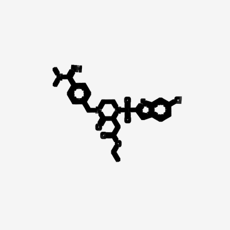 CCOC(=O)CC1C(=O)N(Cc2ccc(C(=N)N(C)C)cc2)CCN1S(=O)(=O)c1cc2ccc(Cl)cc2s1